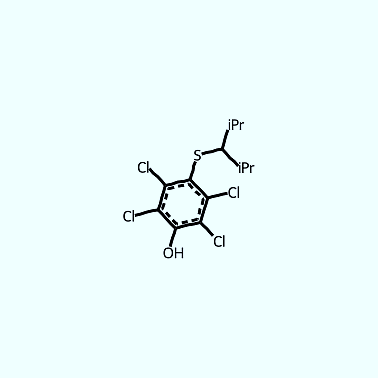 CC(C)C(Sc1c(Cl)c(Cl)c(O)c(Cl)c1Cl)C(C)C